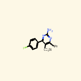 CCOC(=O)c1c(-c2ccc(F)cc2)nc(N)nc1C(C)C